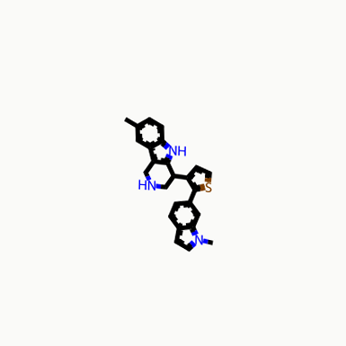 Cc1ccc2[nH]c3c(c2c1)CNCC3c1ccsc1-c1ccc2ccn(C)c2c1